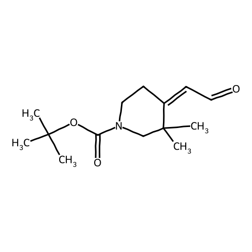 CC(C)(C)OC(=O)N1CC/C(=C/C=O)C(C)(C)C1